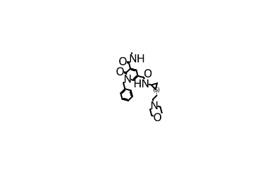 CNC(=O)c1cc(C(=O)NC2C[C@@H]2CCN2CCOCC2)cn(Cc2ccccc2)c1=O